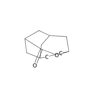 O=C1OC2CCC3CC(C2)CC1C3